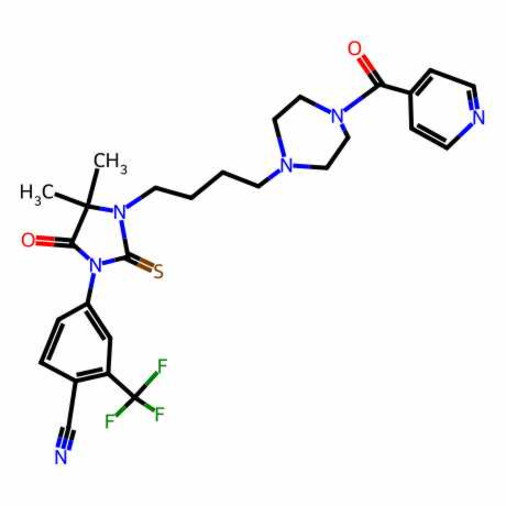 CC1(C)C(=O)N(c2ccc(C#N)c(C(F)(F)F)c2)C(=S)N1CCCCN1CCN(C(=O)c2ccncc2)CC1